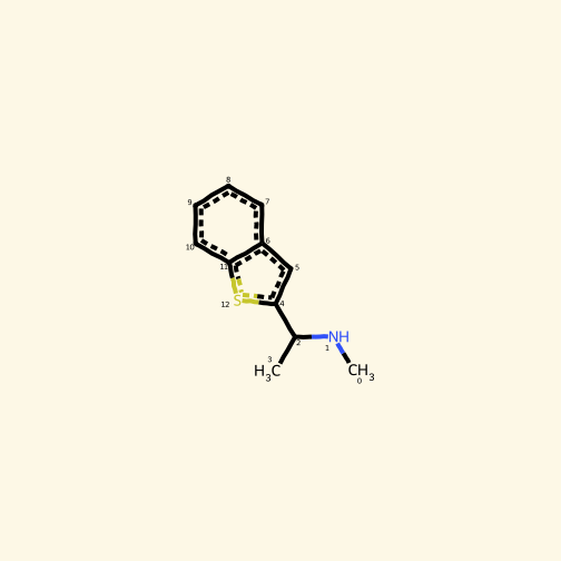 CNC(C)c1cc2ccccc2s1